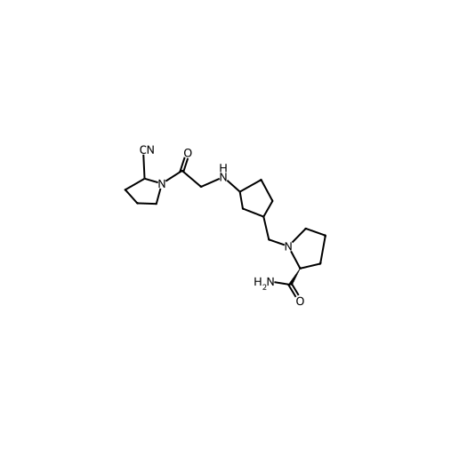 N#CC1CCCN1C(=O)CNC1CCC(CN2CCC[C@H]2C(N)=O)C1